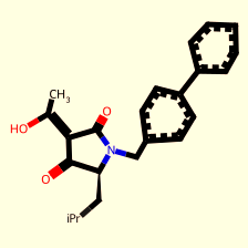 C/C(O)=C1/C(=O)[C@H](CC(C)C)N(Cc2ccc(-c3ccccc3)cc2)C1=O